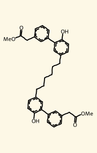 COC(=O)Cc1cccc(-c2cc(CCCCCCc3ccc(O)c(-c4cccc(CC(=O)OC)c4)c3)ccc2O)c1